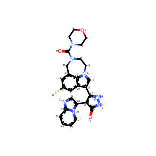 O=C(N1CCOCC1)N1CCn2cc(-c3[nH][nH]c(=O)c3-c3cnc4ccccn34)c3cc(F)cc(c32)C1